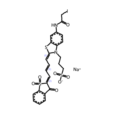 O=C(CI)Nc1ccc2c(c1)S/C(=C/C=C/C=C1/C(=O)c3ccccc3S1(=O)=O)N2CCCS(=O)(=O)[O-].[Na+]